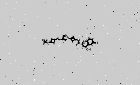 O=C(NC12CC(n3cc(OCC4CC(OC(F)(F)F)C4)cn3)(C1)C2)[C@H]1C[C@@H](O)c2cc(Cl)ccc2O1